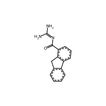 NC(N)=NC(=O)c1cccc2c1Cc1ccccc1-2